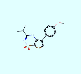 COc1ccc(-c2csc3c2NC(C(C)C)=NS3(=O)=O)cc1